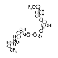 O=C(NC(=O)c1ccc2c(N=Nc3ccc(C(=O)c4ccc(-c5ccc(N=Nc6c(O)ccc7cc(C(=O)NC(=O)Nc8cccc(C(F)(F)F)c8)ccc67)cc5)cc4)cc3)c(O)ccc2c1)Nc1cccc(C(F)(F)F)c1